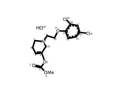 COC(=O)OC1=CCCN(CCOc2ccc(Cl)cc2Cl)C1.Cl